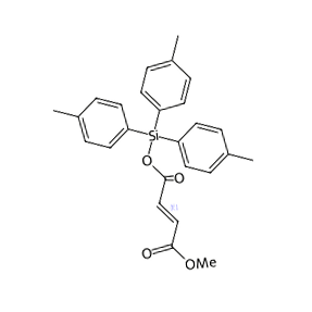 COC(=O)/C=C/C(=O)O[Si](c1ccc(C)cc1)(c1ccc(C)cc1)c1ccc(C)cc1